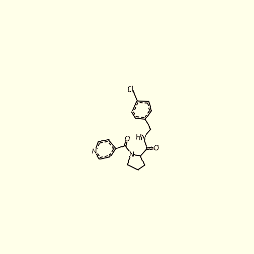 O=C(NCc1ccc(Cl)cc1)C1CCCN1C(=O)c1ccncc1